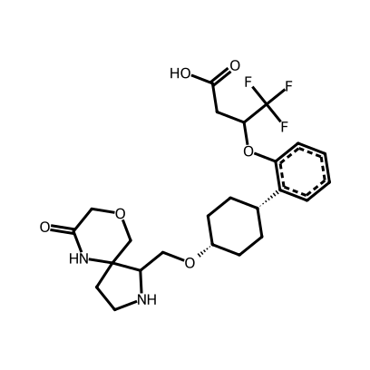 O=C(O)CC(Oc1ccccc1[C@H]1CC[C@@H](OCC2NCCC23COCC(=O)N3)CC1)C(F)(F)F